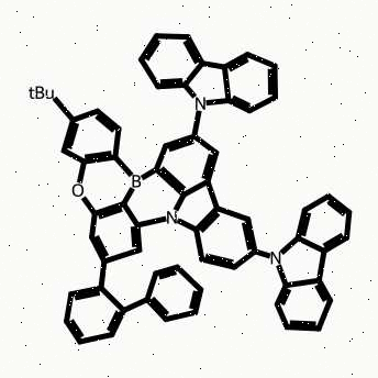 CC(C)(C)c1ccc2c(c1)Oc1cc(-c3ccccc3-c3ccccc3)cc3c1B2c1cc(-n2c4ccccc4c4ccccc42)cc2c4cc(-n5c6ccccc6c6ccccc65)ccc4n-3c12